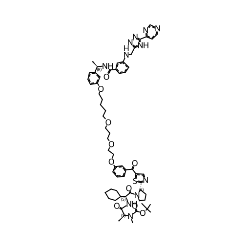 C[C@@H](NC(=O)c1cccc(NCc2nnc(-c3ccncn3)[nH]2)c1)c1cccc(OCCCCCOCCCOCCOc2cccc(C(=O)c3cnc([C@@H]4CCCN4C(=O)[C@@H](NC(=O)[C@H](C)N(C)C(=O)OC(C)(C)C)C4CCCCC4)s3)c2)c1